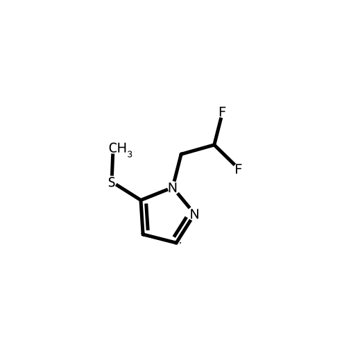 CSc1c[c]nn1CC(F)F